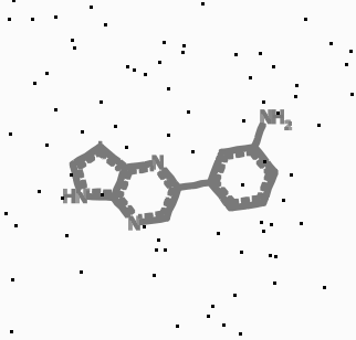 Nc1cccc(-c2cnc3[nH]c[c]c3n2)c1